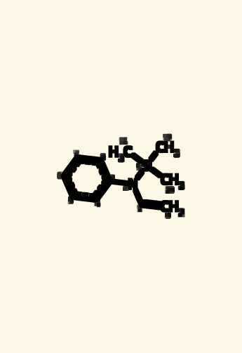 C=CN(c1ccccc1)[Si](C)(C)C